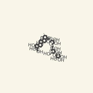 C[C@H]1[C@H](C)CC[C@]2(C(=O)O[C@@H]3O[C@H](CO[C@@H]4O[C@H](CO)[C@@H](O[C@@H]5O[C@H](C)[C@H](O)[C@@H](O)[C@H]5O)[C@H](O)[C@H]4O)[C@@H](O)[C@H](O)[C@H]3O)CC[C@]3(C)C(=CC[C@@H]4[C@@]5(C)C[C@@H](O)[C@H](O)[C@@](C)(CO)C5CC[C@]43C)[C@@H]12